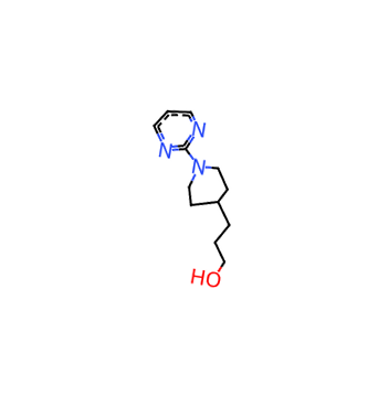 OCCCC1CCN(c2ncccn2)CC1